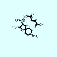 CC1OC2(CCN(C)CC2)CC1N(C)C.O=C(O)C=CC(=O)O